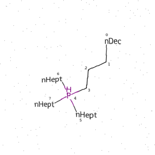 CCCCCCCCCCCCC[PH](CCCCCCC)(CCCCCCC)CCCCCCC